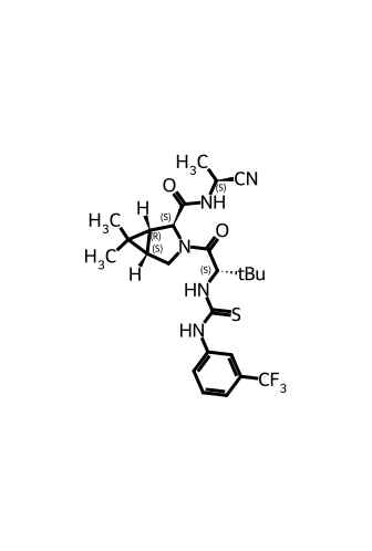 C[C@@H](C#N)NC(=O)[C@@H]1[C@@H]2[C@H](CN1C(=O)[C@@H](NC(=S)Nc1cccc(C(F)(F)F)c1)C(C)(C)C)C2(C)C